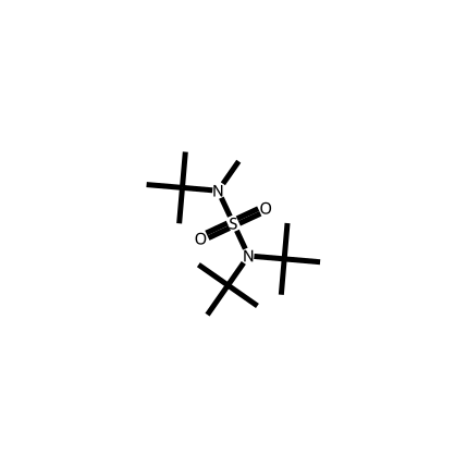 CN(C(C)(C)C)S(=O)(=O)N(C(C)(C)C)C(C)(C)C